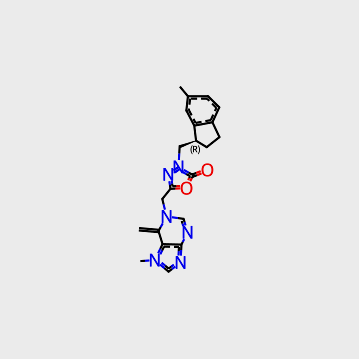 C=C1c2c(ncn2C)N=CN1Cc1nn(C[C@@H]2CCc3ccc(C)cc32)c(=O)o1